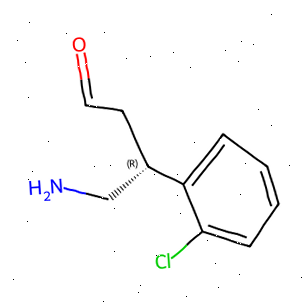 NC[C@H](CC=O)c1ccccc1Cl